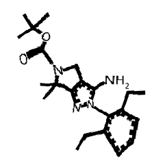 CCc1cccc(CC)c1-n1nc2c(c1N)CN(C(=O)OC(C)(C)C)C2(C)C